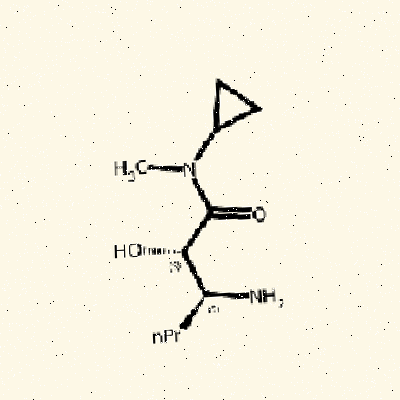 CCC[C@H](N)[C@H](O)C(=O)N(C)C1CC1